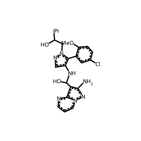 COc1ccc(Cl)cc1-c1c(NC(O)c2c(N)nn3cccnc23)cnn1CC(O)C(C)C